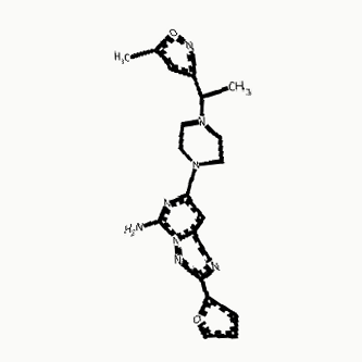 Cc1cc(C(C)N2CCN(c3cc4nc(-c5ccco5)nn4c(N)n3)CC2)no1